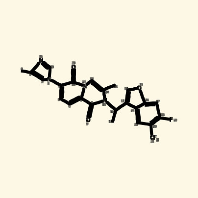 Cc1cn(-c2ccc3c(=O)n(C(C)c4coc5cc(F)c(C(F)(F)F)cc45)c(C)cn3c2=O)cn1